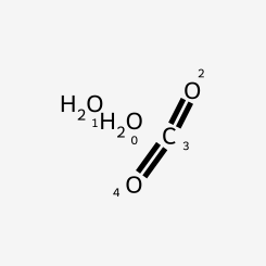 O.O.O=C=O